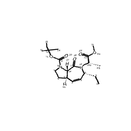 CC[C@@H]1C=C[C@H]2CCN(C(=O)OC(C)(C)C)[C@@H]2C(=O)N1[C@@H](C)C(=O)OC